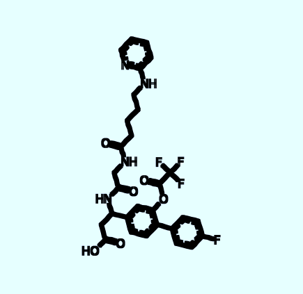 O=C(O)CC(NC(=O)CNC(=O)CCCCNc1ccccn1)c1ccc(-c2ccc(F)cc2)c(OC(=O)C(F)(F)F)c1